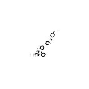 NC(=O)C1(C(=O)N(c2ccc(F)cc2)c2ccc(Oc3ccnc(NC(=O)N4CCC(CO)CC4)c3)cc2F)CC1